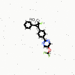 O=C(O)C1(F)C(c2ccccc2)C1c1ccc(-c2ncc(OC(F)F)cn2)cc1